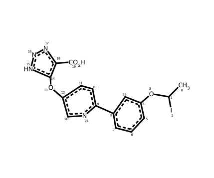 CC(I)Oc1cccc(-c2ccc(Oc3[nH]nnc3C(=O)O)cn2)c1